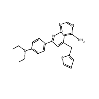 CCN(CC)c1ccc(-c2cc(Cc3cccs3)c3c(N)ncnc3n2)cc1